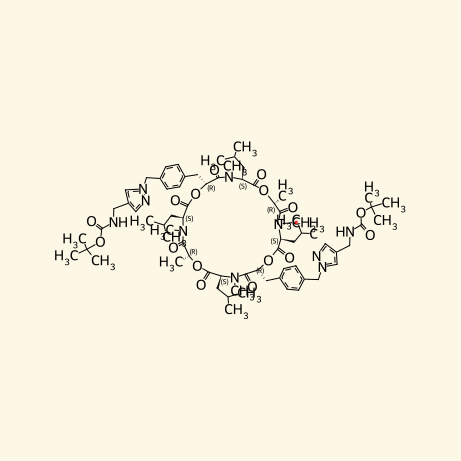 CC(C)C[C@H]1C(=O)O[C@H](Cc2ccc(Cn3cc(CNC(=O)OC(C)(C)C)cn3)cc2)C(=O)N(C)[C@@H](CC(C)C)C(=O)O[C@H](C)C(=O)N(C)[C@@H](CC(C)C)C(=O)O[C@H](Cc2ccc(Cn3cc(CNC(=O)OC(C)(C)C)cn3)cc2)C(=O)N(C)[C@@H](CC(C)C)C(=O)O[C@H](C)C(=O)N1C